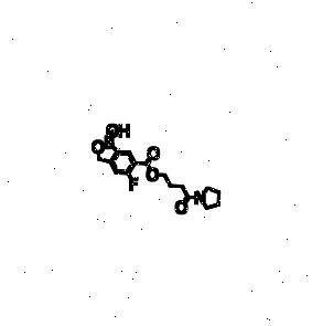 O=C(OCCCC(=O)N1CCCC1)c1cc2c(cc1F)COB2O